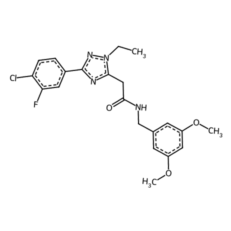 CCn1nc(-c2ccc(Cl)c(F)c2)nc1CC(=O)NCc1cc(OC)cc(OC)c1